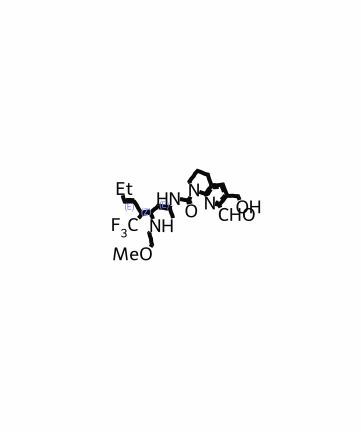 CC/C=C/C(=C(\C=C(/C)NC(=O)N1CCCc2cc(CO)c(C=O)nc21)NCCOC)C(F)(F)F